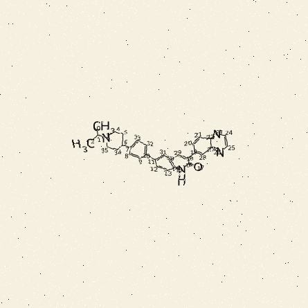 CC(C)N1CCC(c2ccc(-c3ccc4[nH]c(=O)c(-c5ccc6nccnc6c5)cc4c3)cc2)CC1